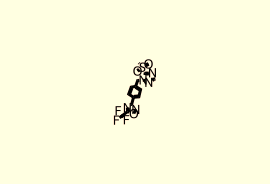 CS(=O)(=O)c1ncnn1Cc1ccc(-c2noc(C(F)(F)F)n2)cc1